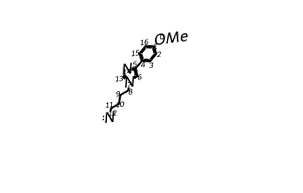 COc1ccc(-c2cn(CCCC[N])cn2)cc1